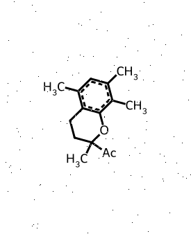 CC(=O)C1(C)CCc2c(C)cc(C)c(C)c2O1